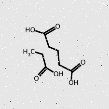 CCC(=O)O.O=C(O)CCCC(=O)O